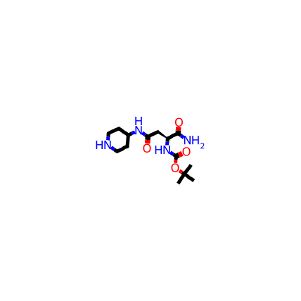 CC(C)(C)OC(=O)N[C@@H](CC(=O)NC1CCNCC1)C(N)=O